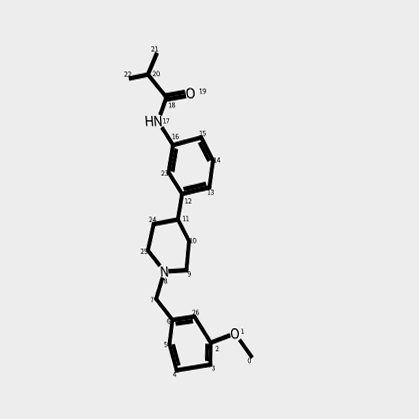 COc1cccc(CN2CCC(c3cccc(NC(=O)C(C)C)c3)CC2)c1